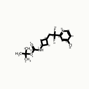 CC(C)(C)OC(=O)NC1CC(CC(F)(F)c2cc(Cl)ccn2)C1